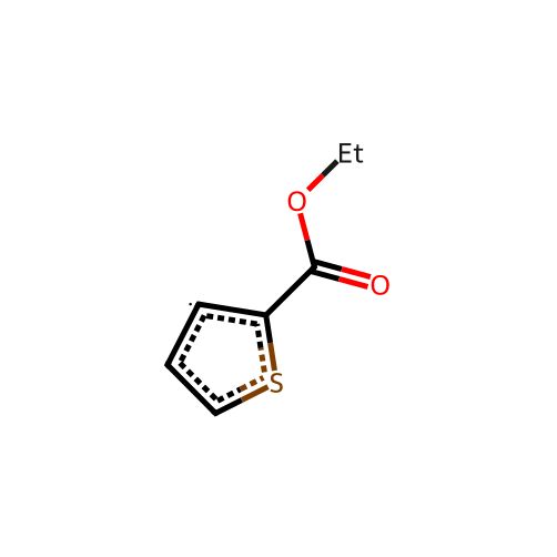 CCOC(=O)c1[c]ccs1